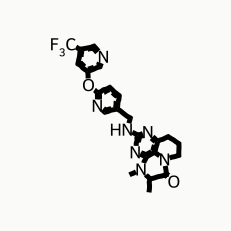 CC1C(=O)N2CCCc3nc(NCc4ccc(Oc5cncc(C(F)(F)F)c5)nc4)nc(c32)N1C